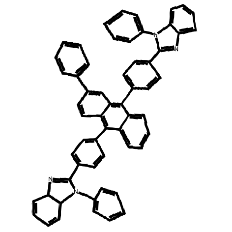 C1=CC2N=C(c3ccc(-c4c5ccccc5c(-c5ccc(-c6nc7ccccc7n6-c6ccccc6)cc5)c5cc(-c6ccccc6)ccc45)cc3)N(c3ccccc3)C2C=C1